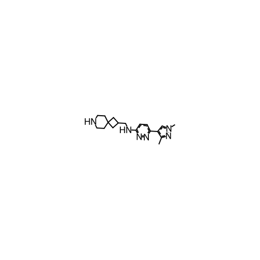 Cc1nn(C)cc1-c1ccc(NCC2CC3(CCNCC3)C2)nn1